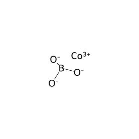 [Co+3].[O-]B([O-])[O-]